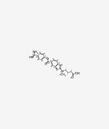 CN(CCCC(=O)O)c1nc2ccc(C(=O)Oc3ccc(C(=N)N)cc3)cc2s1